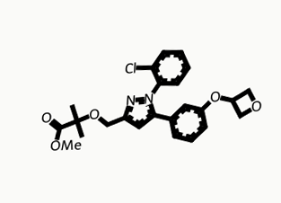 COC(=O)C(C)(C)OCc1cc(-c2cccc(OC3COC3)c2)n(-c2ccccc2Cl)n1